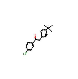 CC(C)(C)c1ccc(CC(=O)c2ccc(Cl)cc2)cc1